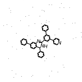 c1ccc(-c2cc(C3=Nc4cc(-c5ccccc5)ccc4C(c4ccccc4)N3)cc(-c3ccncc3)c2)cc1